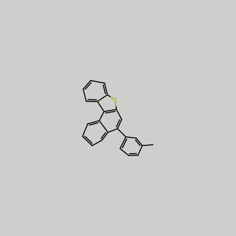 Cc1cccc(-c2cc3sc4ccccc4c3c3ccccc23)c1